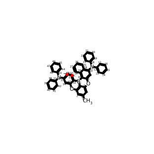 Cc1cc2c3c(c1)Oc1cc(N(c4ccccc4)c4ccccc4)c4ccc#cc4c1B3c1c(cc(N(c3ccccc3)c3ccccc3)c3c1CCC=C3)O2